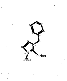 CCCCCCCCCc1n(Cc2ccccc2)cc[n+]1CCCC